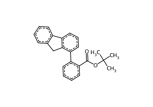 CC(C)(C)OC(=O)c1ccccc1-c1cccc2c1Cc1ccccc1-2